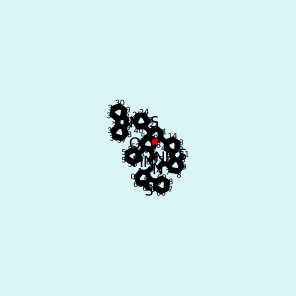 C1=CC(C2=NC(c3cccc4sc5ccc(-c6ccc7c(c6)sc6ccc(-n8c9ccccc9c9ccccc98)cc67)cc5c34)NC(c3cccc4oc5ccccc5c34)N2)C2C(=C1)Sc1ccccc12